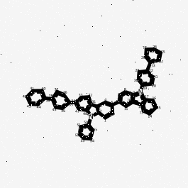 C1=CC2C(C=C1c1ccc3c(c1)c1ccccc1n3-c1ccc(-c3ccccc3)cc1)c1ccc(-c3ccc(-c4ccccc4)cc3)cc1N2c1ccccc1